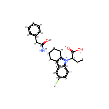 CCC(C(=O)O)n1c2c(c3cc(F)ccc31)C[C@H](NC(=O)Cc1ccccc1)CC2